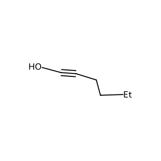 CCCCC#CO